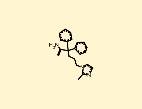 C=C(N)C(CCCn1ccnc1C)(c1ccccc1)c1ccccc1